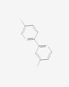 Nc1ccc(-c2cc(N)ccn2)nc1